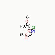 Cc1cc(OCc2ccccc2)ccc1CCC(=O)c1c(Cl)cnn1C1CCC(CC(=O)OC(C)(C)C)CC1